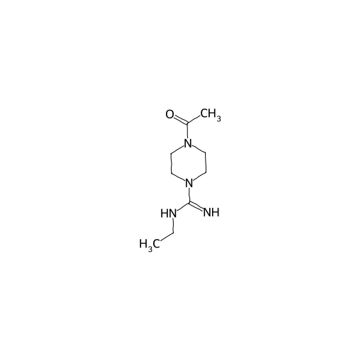 CCNC(=N)N1CCN(C(C)=O)CC1